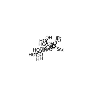 CC(=O)SCc1cc(OCCN(C[C@H](O)[C@@H](O)[C@H](O)[C@H](O)CO)C[C@H](O)[C@@H](O)[C@H](O)[C@H](O)CO)ccc1CSC(=O)C(C)C